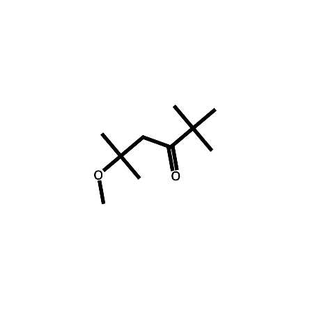 COC(C)(C)CC(=O)C(C)(C)C